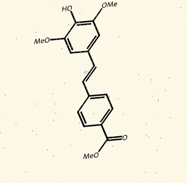 COC(=O)c1ccc(/C=C/c2cc(OC)c(O)c(OC)c2)cc1